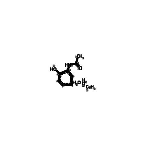 CC(=O)Nc1ccccc1O.O.O.[CaH2]